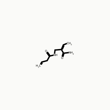 C=CCC(=O)NCC(=CC)C(N)=O